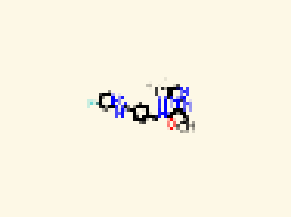 CCc1nc2ncc(C)cn2c1C(=O)NCc1ccc(-c2nc3n(n2)CCC(F)C3)cc1